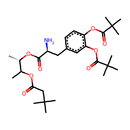 CC(OC(=O)CC(C)(C)C)[C@H](C)OC(=O)[C@@H](N)Cc1ccc(OC(=O)C(C)(C)C)c(OC(=O)C(C)(C)C)c1